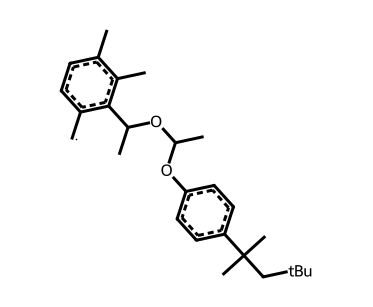 [CH2]c1ccc(C)c(C)c1C(C)OC(C)Oc1ccc(C(C)(C)CC(C)(C)C)cc1